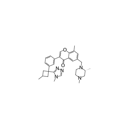 Cc1cc(CN2CCN(C)C[C@H]2C)cc2c(=O)c(-c3cccc(C4(c5nncn5C)CC(C)C4)c3)coc12